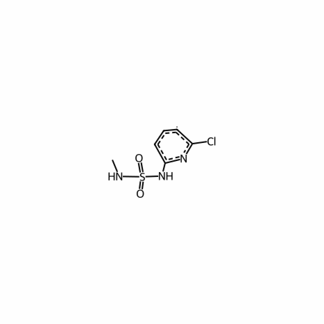 CNS(=O)(=O)Nc1cc[c]c(Cl)n1